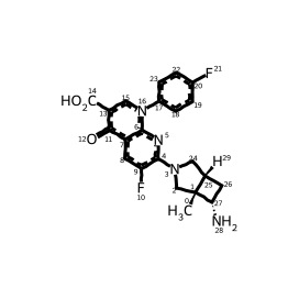 C[C@@]12CN(c3nc4c(cc3F)c(=O)c(C(=O)O)cn4-c3ccc(F)cc3)C[C@@H]1C[C@@H]2N